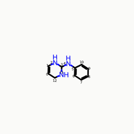 C1=CNC(Nc2ccccc2)NC1